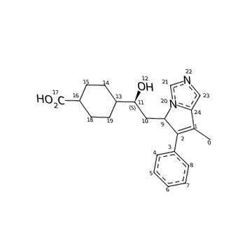 CC1=C(c2ccccc2)C(C[C@H](O)C2CCC(C(=O)O)CC2)n2cncc21